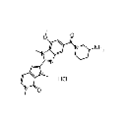 COc1cc(C(=O)N2CCCC(N)C2)cc2nc(-c3cc4ccn(C)c(=O)c4n3C)n(C)c12.Cl